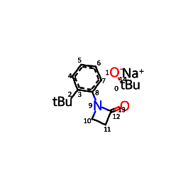 CC(C)(C)[O-].CC(C)(C)c1ccccc1N1CCC1=O.[Na+]